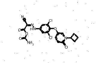 N#CC(=NNc1cc(Cl)c(Oc2ccc(=O)n(C3CCC3)c2)c(Cl)c1)C(=O)OC(N)=O